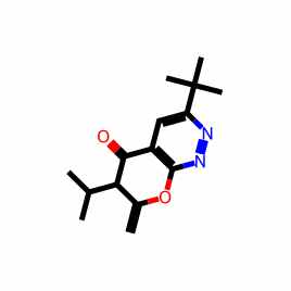 C=C1Oc2nnc(C(C)(C)C)cc2C(=O)C1C(C)C